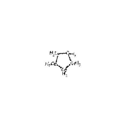 [GeH2]1[GeH2][GeH2][GeH2][GeH2]1